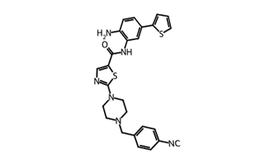 [C-]#[N+]c1ccc(CN2CCN(c3ncc(C(=O)Nc4cc(-c5cccs5)ccc4N)s3)CC2)cc1